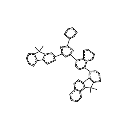 CC1(C)c2ccccc2-c2ccc(-c3cc(-c4ccc(-c5cccc6c5-c5ccc7ccccc7c5C6(C)C)c5ccccc45)nc(-c4ccccc4)n3)cc21